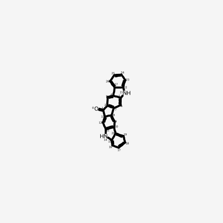 O=C1c2cc3c(cc2-c2cc4c(cc21)[nH]c1ccccc14)[nH]c1ccccc13